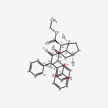 CCOC(=O)[C@H]1[C@H]2CC[C@@H](CN1C(=O)C(c1ccccc1)c1ccccc1)N2C(=O)N(C)Cc1ccccc1